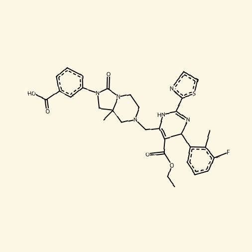 CCOC(=O)C1=C(CN2CCN3C(=O)N(c4cccc(C(=O)O)c4)CC3(C)C2)NC(c2nccs2)=NC1c1cccc(F)c1C